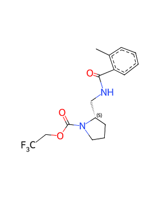 Cc1ccccc1C(=O)NC[C@@H]1CCCN1C(=O)OCC(F)(F)F